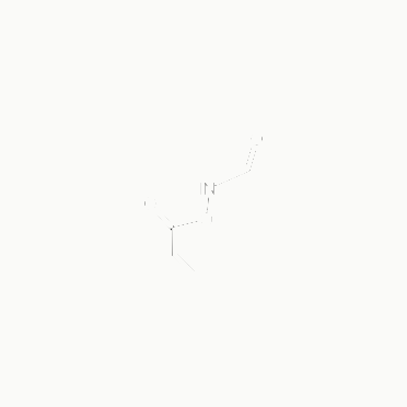 C=CC(=O)ONC=O